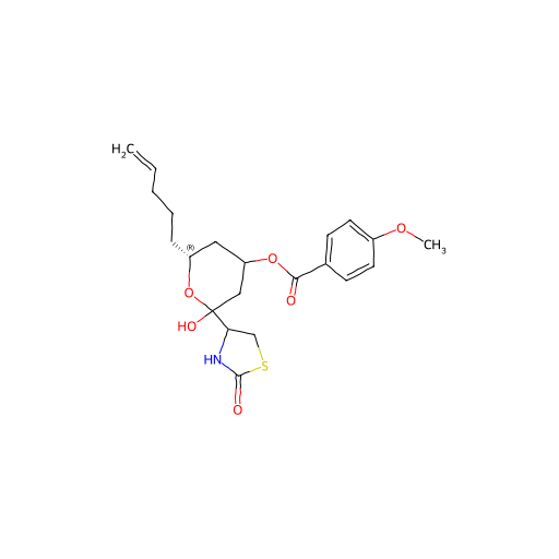 C=CCCC[C@@H]1CC(OC(=O)c2ccc(OC)cc2)CC(O)(C2CSC(=O)N2)O1